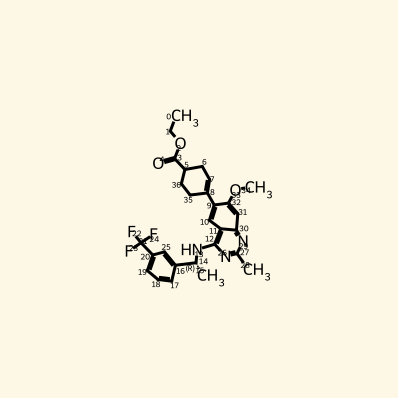 CCOC(=O)C1CC=C(c2cc3c(N[C@H](C)c4cccc(C(F)(F)F)c4)nc(C)nc3cc2OC)CC1